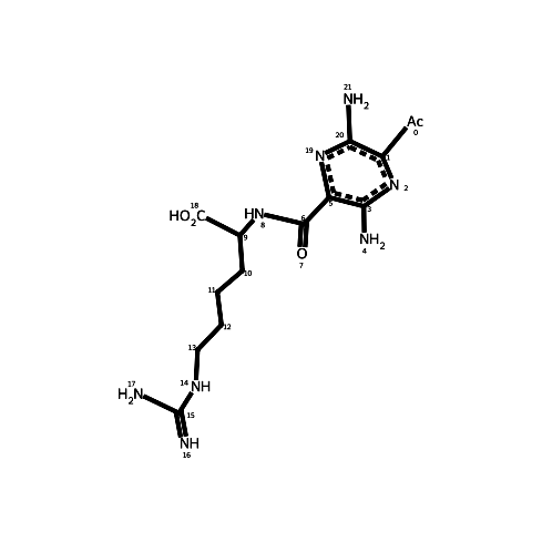 CC(=O)c1nc(N)c(C(=O)NC(CCCCNC(=N)N)C(=O)O)nc1N